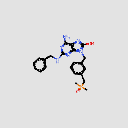 CP(C)(=O)Cc1cccc(Cn2c(O)nc3c(N)nc(NCc4ccccc4)nc32)c1